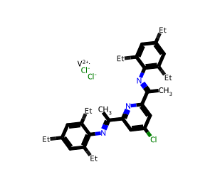 CCc1cc(CC)c(N=C(C)c2cc(Cl)cc(C(C)=Nc3c(CC)cc(CC)cc3CC)n2)c(CC)c1.[Cl-].[Cl-].[V+2]